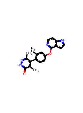 Cc1cc(Oc2nccc3[nH]ccc23)ccc1-c1c(C)n[nH]c(=O)c1C